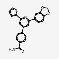 NC(=O)c1ccc(-c2cc(-c3ccc4c(c3)OCO4)nc(-c3ccco3)c2)cc1